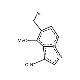 COc1c(CC(C)=O)ccn2ncc([N+](=O)[O-])c12